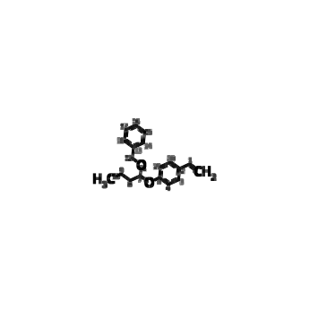 C=Cc1ccc(OC(CCC)OCc2ccccc2)cc1